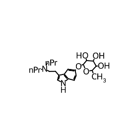 CCCN(CCC)CCc1c[nH]c2ccc(OC3OC(C)C(O)C(O)C3O)cc12